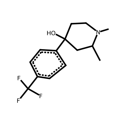 CC1CC(O)(c2ccc(C(F)(F)F)cc2)CCN1C